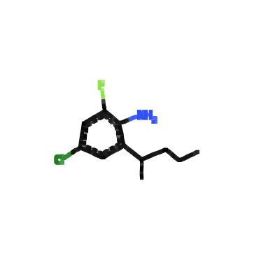 CCCC(C)c1cc(Cl)cc(F)c1N